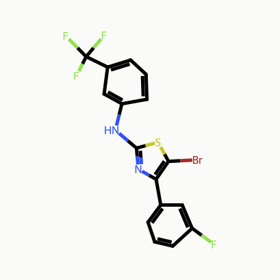 Fc1cccc(-c2nc(Nc3cccc(C(F)(F)F)c3)sc2Br)c1